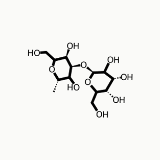 C[C@@H]1OC(CO)[C@@H](O)[C@@H](O[C@@H]2OC(CO)[C@@H](O)[C@@H](O)C2O)C1O